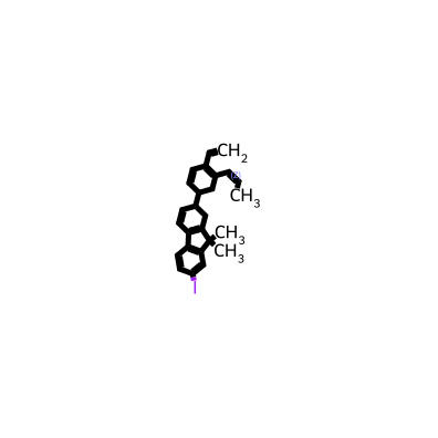 C=CC1=C(/C=C\C)CC(C2C=CC3=C(C2)C(C)(C)c2cc(I)ccc23)C=C1